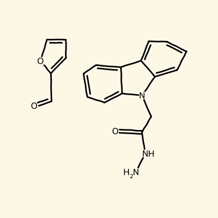 NNC(=O)Cn1c2ccccc2c2ccccc21.O=Cc1ccco1